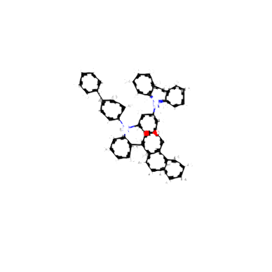 c1ccc(-c2ccc(N(c3cccc(-n4c5ccccc5c5ccccc54)c3)c3ccccc3-c3cccc4c3ccc3ccccc34)cc2)cc1